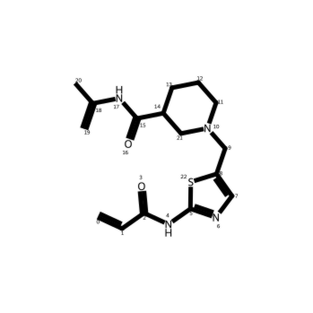 C=CC(=O)Nc1ncc(CN2CCCC(C(=O)NC(=C)C)C2)s1